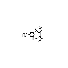 CC1(C)CC(Nc2nc(Nc3cccc(-n4cncn4)c3)ncc2F)CC(C)(C)N1